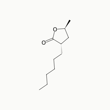 CCCCCC[C@H]1C[C@H](C)OC1=O